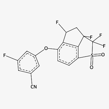 N#Cc1cc(F)cc(Oc2ccc3c4c2C(F)CC4(F)C(F)(F)S3(=O)=O)c1